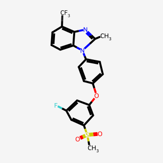 Cc1nc2c(C(F)(F)F)cccc2n1-c1ccc(Oc2cc(F)cc(S(C)(=O)=O)c2)cc1